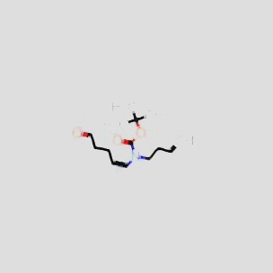 C=CCCN(/C=C\CCC=O)C(=O)OC(C)(C)C